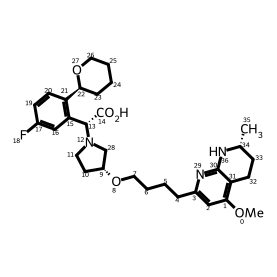 COc1cc(CCCCO[C@@H]2CCN([C@@H](C(=O)O)c3cc(F)ccc3[C@@H]3CCCCO3)C2)nc2c1CC[C@@H](C)N2